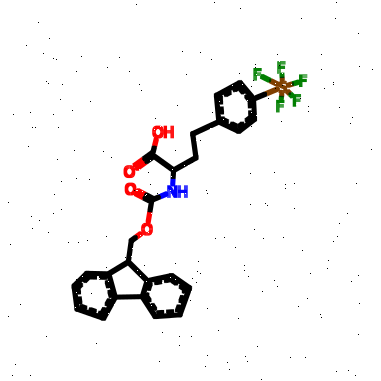 O=C(NC(CCc1ccc(S(F)(F)(F)(F)F)cc1)C(=O)O)OCC1c2ccccc2-c2ccccc21